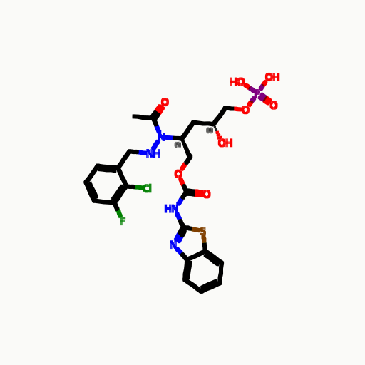 CC(=O)N(NCc1cccc(F)c1Cl)[C@H](COC(=O)Nc1nc2ccccc2s1)C[C@@H](O)COP(=O)(O)O